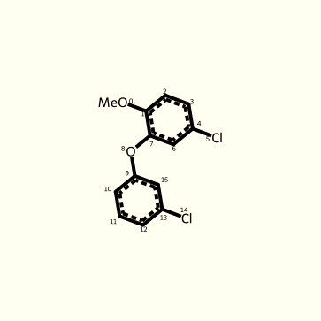 COc1ccc(Cl)cc1Oc1cccc(Cl)c1